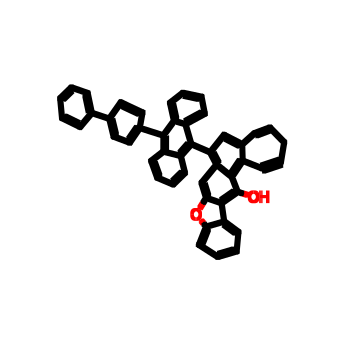 Oc1c2c3c(cc(-c4c5ccccc5c(-c5ccc(-c6ccccc6)cc5)c5ccccc45)c2cc2oc4ccccc4c12)C=CCC#C3